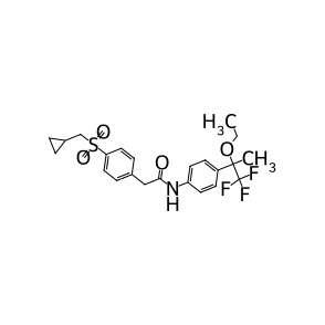 CCOC(C)(c1ccc(NC(=O)Cc2ccc(S(=O)(=O)CC3CC3)cc2)cc1)C(F)(F)F